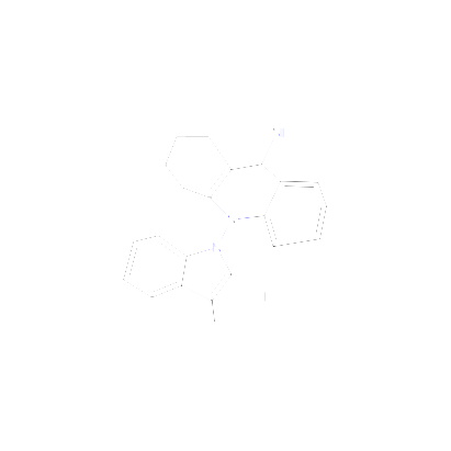 Cc1cn(N2C3=C(CCCC3)C(N)c3ccccc32)c2ccccc12.Cl